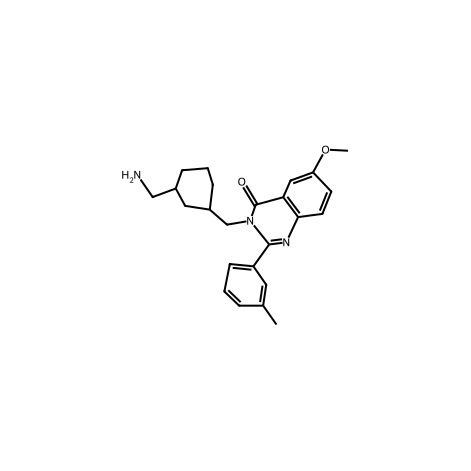 COc1ccc2nc(-c3cccc(C)c3)n(CC3CCCC(CN)C3)c(=O)c2c1